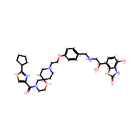 O=C(c1csc(C2CCCC2)n1)N1CCOC2(CCN(CCOc3ccc(CNCC(O)c4ccc(O)c5[nH]c(=O)sc45)cc3)CC2)C1